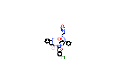 O=C(N[C@H](Cc1ccc(Cl)cc1)C(=O)N1CCC2(CC1)C(=O)N(CCN1CCOCC1)CN2c1ccccc1)[C@H]1Cc2ccccc2CN1